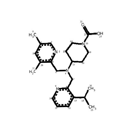 Cc1cnc(CN(Cc2ncccc2C(C)C)C2CCN(C(=O)O)CC2)c(C)c1